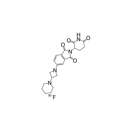 O=C1CCC(N2C(=O)c3ccc(N4CC(N5CCC[C@@H](F)C5)C4)cc3C2=O)C(=O)N1